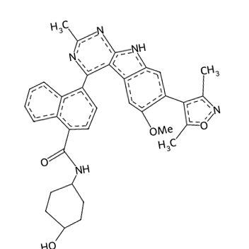 COc1cc2c(cc1-c1c(C)noc1C)[nH]c1nc(C)nc(-c3ccc(C(=O)NC4CCC(O)CC4)c4ccccc34)c12